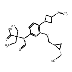 CCC(CC)(C(=O)O)N(C=O)c1ccc(N2CC(OC)C2)c(OC[C@H]2C[C@@H]2CO)n1